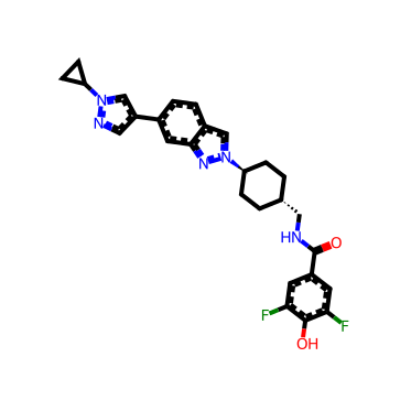 O=C(NC[C@H]1CC[C@H](n2cc3ccc(-c4cnn(C5CC5)c4)cc3n2)CC1)c1cc(F)c(O)c(F)c1